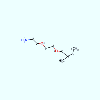 CCC(C)COCCOCCN